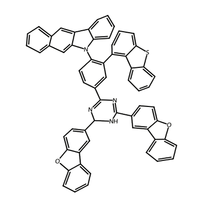 c1ccc2cc3c(cc2c1)c1ccccc1n3-c1ccc(C2=NC(c3ccc4oc5ccccc5c4c3)NC(c3ccc4oc5ccccc5c4c3)=N2)cc1-c1cccc2sc3ccccc3c12